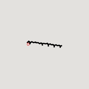 CC(C)=CCC/C(C)=C/CC/C(C)=C/CC/C(C)=C/CC/C=C/CCc1ccoc1